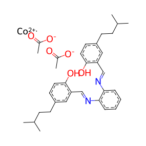 CC(=O)[O-].CC(=O)[O-].CC(C)CCc1ccc(O)c(C=Nc2ccccc2N=Cc2cc(CCC(C)C)ccc2O)c1.[Co+2]